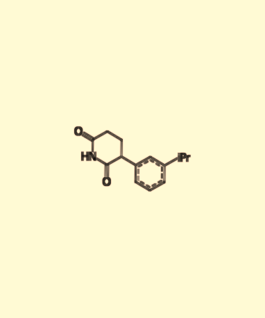 CC(C)c1cccc(C2CCC(=O)NC2=O)c1